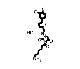 Cl.NCCCCCC(=O)N1C(=O)CN(N=Cc2ccc(-c3ccc(Cl)c(Cl)c3)o2)C1=O